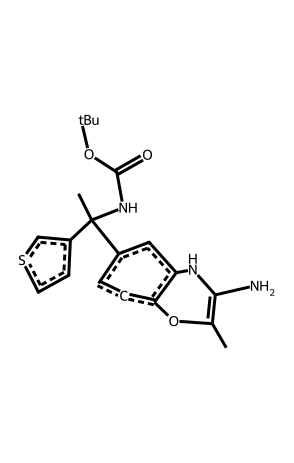 CC1=C(N)Nc2cc(C(C)(NC(=O)OC(C)(C)C)c3ccsc3)ccc2O1